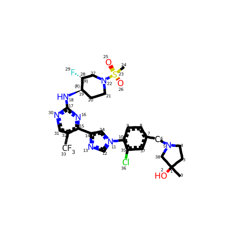 CC1(O)CCN(Cc2ccc(-n3cnc(-c4nc(N[C@@H]5CCN(S(C)(=O)=O)C[C@H]5F)ncc4C(F)(F)F)c3)c(Cl)c2)C1